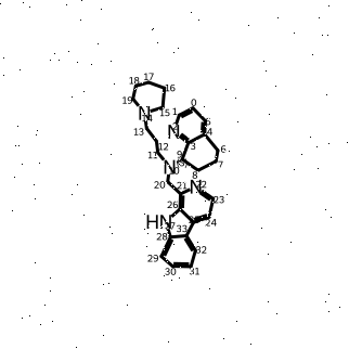 c1cnc2c(c1)CCC[C@@H]2N(CCCN1CCCCC1)Cc1nccc2c1[nH]c1ccccc12